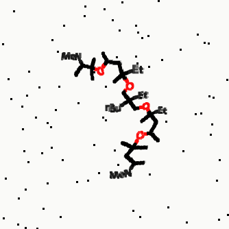 CCCCC(CC)(COC(C)(CC)CC(C)OC(C)(C)CC(C)NC)COC(C)(CC)CC(C)OC(C)(C)C(C)NC